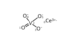 [Ce+3].[O]=[V]([O-])([O-])[O-]